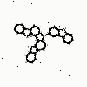 c1ccc2c(c1)sc1ccc(-n3c4ccc5c6ccccc6sc5c4c4c5sc6ccccc6c5ccc43)cc12